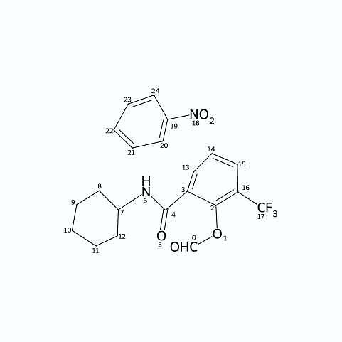 O=COc1c(C(=O)NC2CCCCC2)cccc1C(F)(F)F.O=[N+]([O-])c1ccccc1